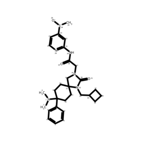 CN(C)C1(c2ccccc2)CCC2(CC1)CN(CC(=O)Nc1cc([S+](C)[O-])ccn1)C(=O)N2CC1CCC1